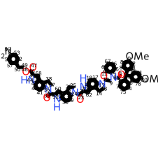 COc1ccc(C(OCN(CC(=O)N2CCc3c2ccc2[nH]c(C(=O)N4CCc5c4ccc4[nH]c(C(=O)N6CCc7c6ccc6[nH]c(C(=O)OCCc8ccc([N+](=O)[O-])cc8)cc76)cc54)cc32)c2ccccc2)(c2ccccc2)c2ccc(OC)cc2)cc1